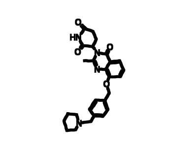 Cc1nc2c(OCc3ccc(CN4CCCCC4)cc3)cccc2c(=O)n1C1CCC(=O)NC1=O